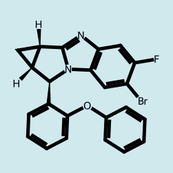 Fc1cc2nc3n(c2cc1Br)[C@@H](c1ccccc1Oc1ccccc1)[C@@H]1C[C@H]31